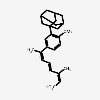 COc1ccc(\C(C)=C/C=C/C(C)=C\C(=O)O)cc1C12CC3CC(CC(C3)C1)C2